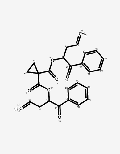 C=CCC(OC(=O)C1(C(=O)OC(CC=C)C(=O)c2ccccc2)CC1)C(=O)c1ccccc1